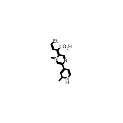 CC/C=C\C(C(=O)O)=C1\C=NC(C2=CC(C)NC=C2)=CN1C